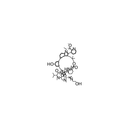 CCn1c(-c2cccnc2[C@H](C)OC)c2c3cc(ccc31)-c1cc(O)cc(c1)C[C@H](NC(=O)C(C(C)C)N(C)C(=O)CN(C)C(=O)[C@@H]1CN1CCO)C(=O)N1CCC[C@H](N1)C(=O)OCC(C)(C)C2